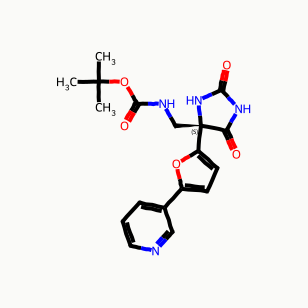 CC(C)(C)OC(=O)NC[C@@]1(c2ccc(-c3cccnc3)o2)NC(=O)NC1=O